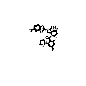 C[C@@H]1CCCN(C(=O)c2c(F)cc(F)cc2-n2nccn2)[C@@H]1CNc1nc2ccc(Cl)cc2o1